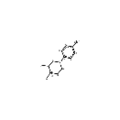 C[C@H]1CN(c2ccc(Br)cc2)CCN1C